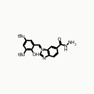 CC(C)(C)c1cc(C=[N+]2C=Nc3ccc(C(=O)NN)cc32)c(O)c(C(C)(C)C)c1